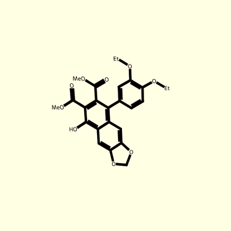 CCOc1ccc(-c2c(C(=O)OC)c(C(=O)OC)c(O)c3cc4c(cc23)OCO4)cc1OCC